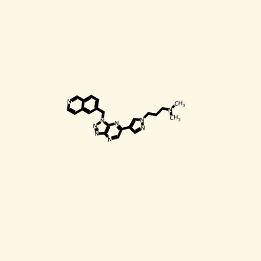 CN(C)CCCn1cc(-c2cnc3nnn(Cc4ccc5cnccc5c4)c3n2)cn1